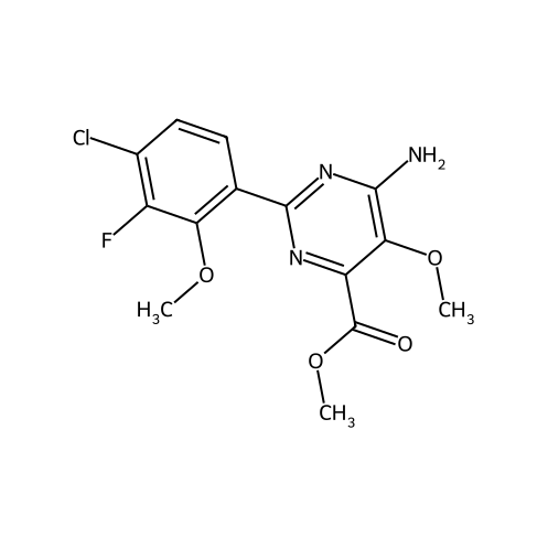 COC(=O)c1nc(-c2ccc(Cl)c(F)c2OC)nc(N)c1OC